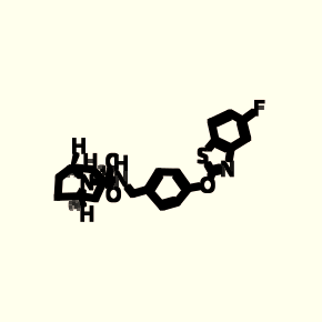 CC(=O)N1[C@@H]2CC[C@H]1CC(NCc1ccc(Oc3nc4cc(F)ccc4s3)cc1)C2